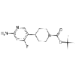 CC(C)(C)OC(=O)N1CCC(c2cnc(N)cc2F)CC1